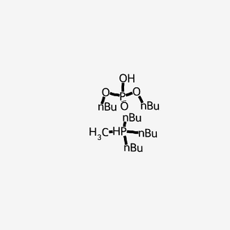 CCCCOP(=O)(O)OCCCC.CCCC[PH](C)(CCCC)CCCC